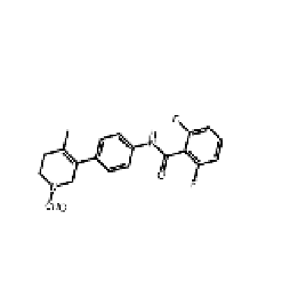 CC1=C(c2ccc(NC(=O)c3c(F)cccc3F)cc2)CN(C=O)CC1